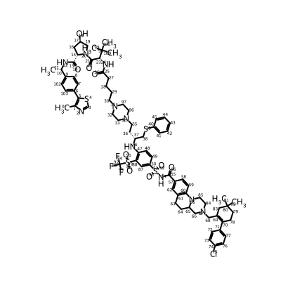 Cc1ncsc1-c1ccc([C@H](C)NC(=O)[C@@H]2C[C@@H](O)CN2C(=O)[C@@H](NC(=O)CCCCN2CCN(CC[C@H](CSc3ccccc3)Nc3ccc(S(=O)(=O)NC(=O)c4ccc5c(c4)CCC4CN(CC6=C(c7ccc(Cl)cc7)CCC(C)(C)C6)CCN54)cc3S(=O)(=O)C(F)(F)F)CC2)C(C)(C)C)cc1